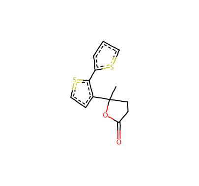 CC1(c2ccsc2-c2cccs2)CCC(=O)O1